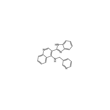 c1cncc(CNc2c(-c3nc4ccccc4[nH]3)cnc3ccccc23)c1